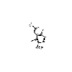 CC(=Cc1c(C)ccc(C(=O)O)c1C)C(=O)O